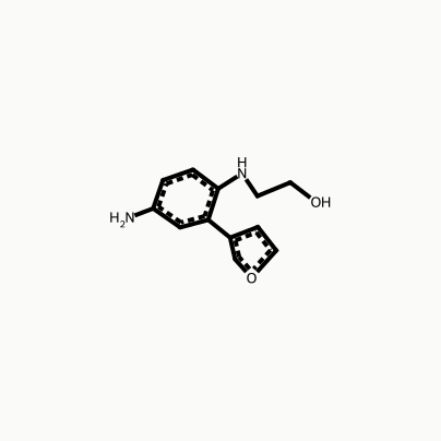 Nc1ccc(NCCO)c(-c2ccoc2)c1